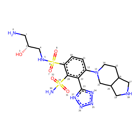 NC[C@@H](O)CNS(=O)(=O)c1ccc(N2CCC3CNCC3C2)c(-c2nnn[nH]2)c1S(N)(=O)=O